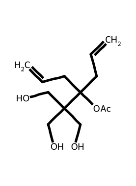 C=CCC(CC=C)(OC(C)=O)C(CO)(CO)CO